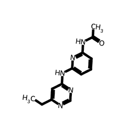 CCc1cc(Nc2cccc(NC(C)=O)n2)ncn1